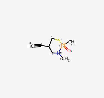 C#CC1CSP(C)(=O)N(C)C1